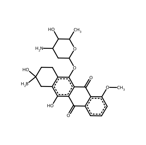 BC1(O)CCc2c(c(O)c3c(c2OC2CC(N)C(O)C(C)O2)C(=O)c2c(OC)cccc2C3=O)C1